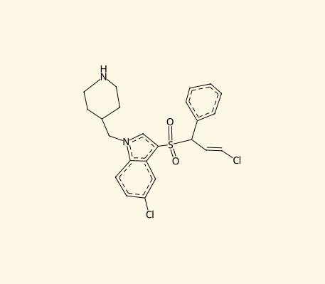 O=S(=O)(c1cn(CC2CCNCC2)c2ccc(Cl)cc12)C(C=CCl)c1ccccc1